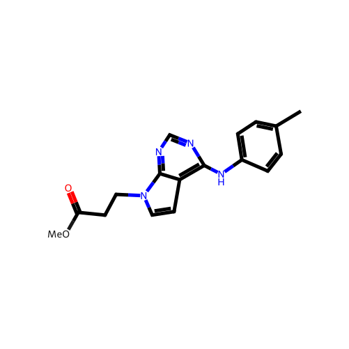 COC(=O)CCn1ccc2c(Nc3ccc(C)cc3)ncnc21